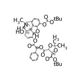 CN1CC[C@]23c4c5ccc(OC(=O)OC(C)(C)C)c4O[C@H]2C(OC(=O)[C@@H](OC(=O)C2OC(C)(C)O[C@H]2C(=O)OC(C)(C)C)c2ccccc2)=CC[C@@]3(O)[C@H]1C5